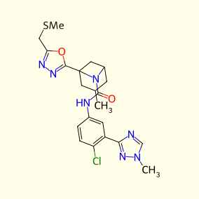 CSCc1nnc(C23CC(C)CC(C2)N3C(=O)Nc2ccc(Cl)c(-c3ncn(C)n3)c2)o1